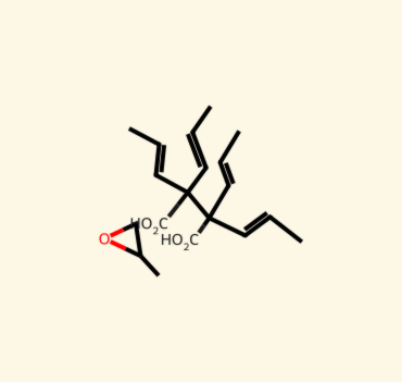 CC1CO1.CC=CC(C=CC)(C(=O)O)C(C=CC)(C=CC)C(=O)O